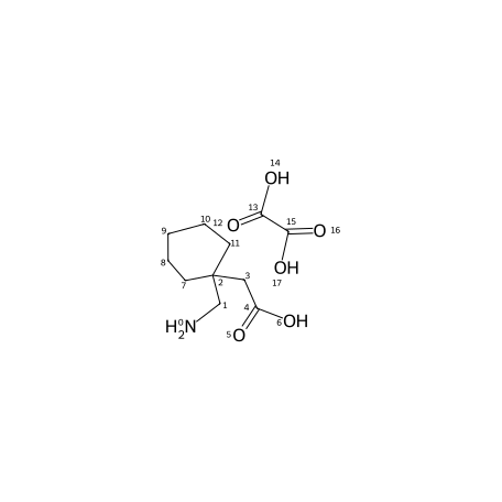 NCC1(CC(=O)O)CCCCC1.O=C(O)C(=O)O